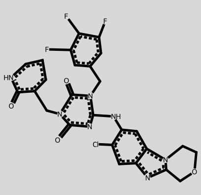 O=c1[nH]cccc1Cn1c(=O)nc(Nc2cc3c(cc2Cl)nc2n3CCOC2)n(Cc2cc(F)c(F)c(F)c2)c1=O